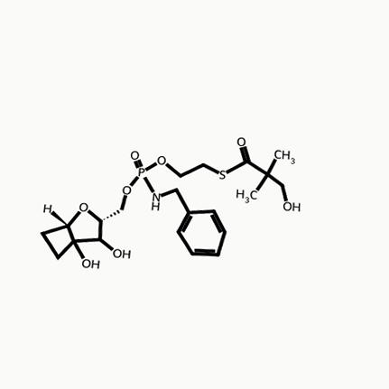 CC(C)(CO)C(=O)SCCOP(=O)(NCc1ccccc1)OC[C@H]1O[C@H]2CCC2(O)C1O